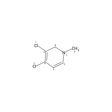 CN1C=CC(Cl)=C(Cl)C1